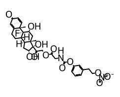 C[C@]12C=CC(=O)C=C1CC[C@H]1[C@@H]3C[C@@H](O)[C@](O)(C(=O)COC(=O)CNC(=O)Oc4cccc(CCO[N+](=O)[O-])c4)[C@@]3(C)C[C@H](O)[C@@]12F